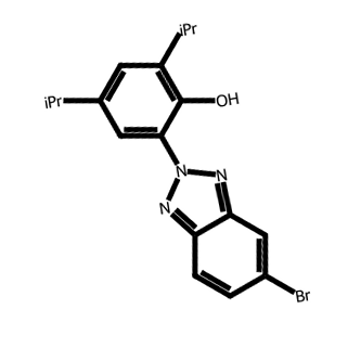 CC(C)c1cc(C(C)C)c(O)c(-n2nc3ccc(Br)cc3n2)c1